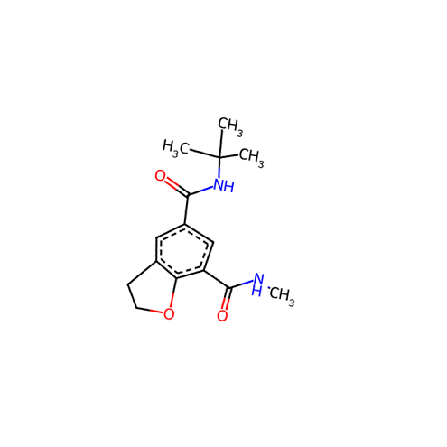 CNC(=O)c1cc(C(=O)NC(C)(C)C)cc2c1OCC2